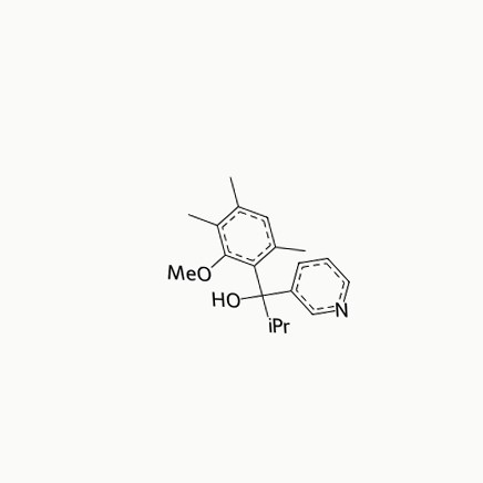 COc1c(C)c(C)cc(C)c1C(O)(c1cccnc1)C(C)C